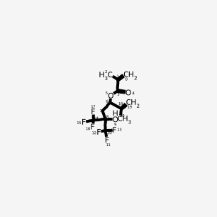 C=C(C)C(=O)OC(CC(O)(C(F)(F)F)C(F)(F)F)C(=C)C